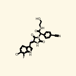 N#Cc1ccc(C(C(=O)NCCO)N2C(=O)N/C(=C\c3c[nH]c4c(F)c(Cl)ccc34)C2=O)cc1